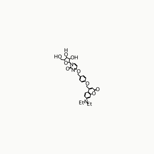 CCN(CC)c1ccc2c(COc3ccc(COc4ccn(C5OC(CO)C(O)C5O)c(=O)n4)cc3)cc(=O)oc2c1